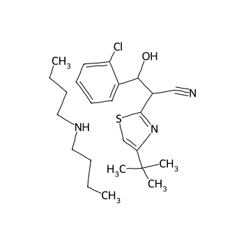 CC(C)(C)c1csc(C(C#N)C(O)c2ccccc2Cl)n1.CCCCNCCCC